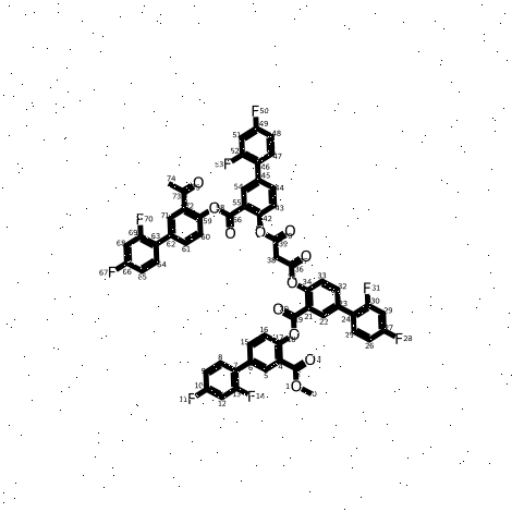 COC(=O)c1cc(-c2ccc(F)cc2F)ccc1OC(=O)c1cc(-c2ccc(F)cc2F)ccc1OC(=O)CC(=O)Oc1ccc(-c2ccc(F)cc2F)cc1C(=O)Oc1ccc(-c2ccc(F)cc2F)cc1C(C)=O